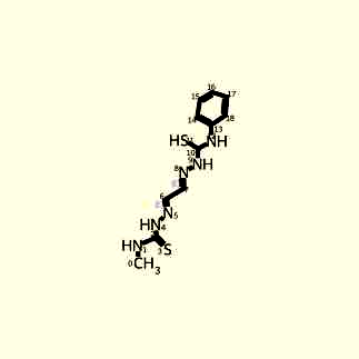 CNC(=S)N/N=C/C=N/NC(S)Nc1ccccc1